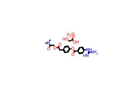 CN(C)C(=O)COC(=O)Cc1ccc(OC(=O)c2ccc(NC(=N)N)cc2)cc1.O.O=C(O)CO